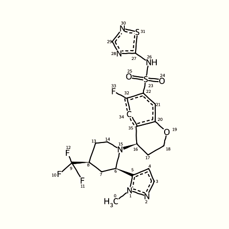 Cn1nccc1[C@H]1C[C@@H](C(F)(F)F)CCN1[C@@H]1CCOc2cc(S(=O)(=O)Nc3ncns3)c(F)cc21